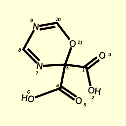 O=C(O)C1(C(=O)O)N=CN=CO1